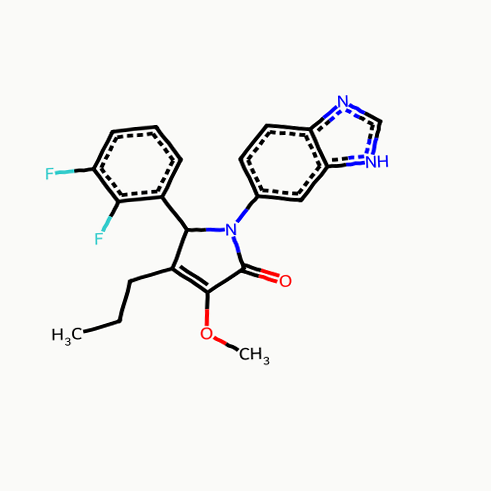 CCCC1=C(OC)C(=O)N(c2ccc3nc[nH]c3c2)C1c1cccc(F)c1F